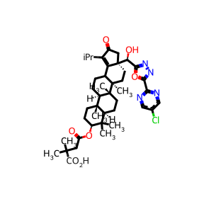 CC(C)C1=C2C3CC[C@@H]4[C@@]5(C)CC[C@H](OC(=O)CC(C)(C)C(=O)O)C(C)(C)[C@@H]5CC[C@@]4(C)[C@]3(C)CC[C@@]2([C@@H](O)c2nnc(-c3ncc(Cl)cn3)o2)CC1=O